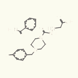 NC(=O)c1ccccc1.O=C(O)CNNC(=O)N1CCN(Cc2ccc(Cl)cc2)CC1